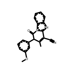 COc1cccc(C2C(=O)n3c(nc4ccccc43)C(C#N)=C2C)c1